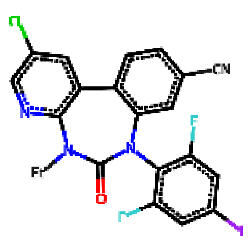 CCN1C(=O)N(c2c(F)cc(I)cc2F)c2cc(C#N)ccc2-c2cc(Cl)cnc21